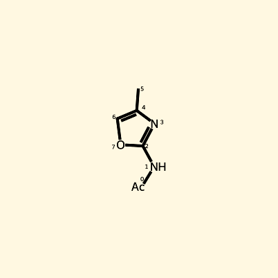 CC(=O)Nc1nc(C)co1